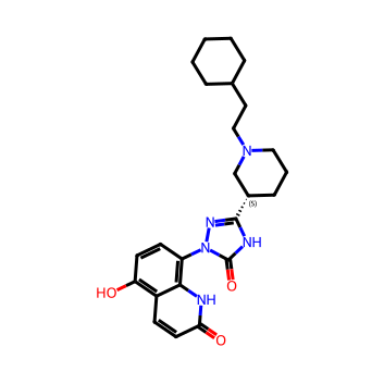 O=c1ccc2c(O)ccc(-n3nc([C@H]4CCCN(CCC5CCCCC5)C4)[nH]c3=O)c2[nH]1